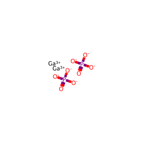 O=P([O-])([O-])[O-].O=P([O-])([O-])[O-].[Ga+3].[Ga+3]